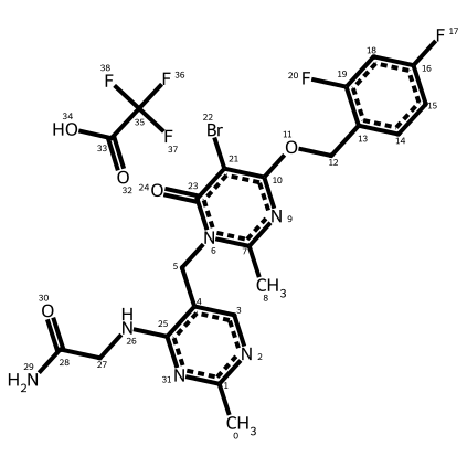 Cc1ncc(Cn2c(C)nc(OCc3ccc(F)cc3F)c(Br)c2=O)c(NCC(N)=O)n1.O=C(O)C(F)(F)F